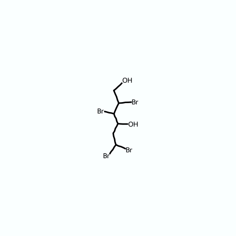 OCC(Br)C(Br)C(O)CC(Br)Br